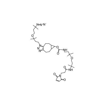 CC(C)(CCOC(C)(C)CCn1nnc2c1CCC1C(CC2)C1OC(=O)NCCC(C)(C)OCCC(C)(C)NC(=O)CCN1C(=O)C=CC1=O)N=[N+]=[N-]